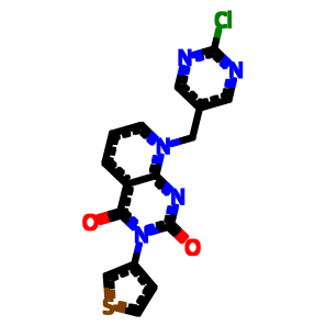 O=c1nc2n(Cc3cnc(Cl)nc3)cccc-2c(=O)n1-c1ccsc1